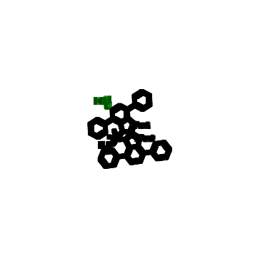 CCCCCC1=Cc2c(-c3ccccc3)ccc(-c3ccccc3)c2[CH]1[Zr]([CH3])([CH3])(=[SiH2])[CH]1C(CCCCC)=Cc2c(-c3ccccc3)ccc(-c3ccccc3)c21.Cl.Cl